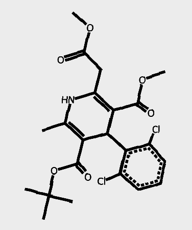 COC(=O)CC1=C(C(=O)OC)C(c2c(Cl)cccc2Cl)C(C(=O)OC(C)(C)C)=C(C)N1